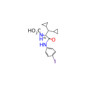 O=C(O)N[C@H](C(=O)Nc1ccc(I)cc1)C(C1CC1)C1CC1